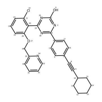 Oc1nc(-c2ccc(C#CC3CCCCC3)cc2)nc(-c2c(Cl)cccc2OCc2ccccn2)n1